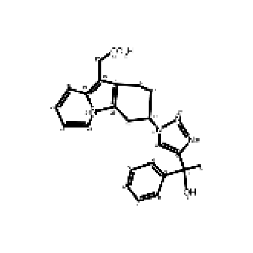 CC(O)(c1ccccc1)c1cn(C2CCc3c(CC(=O)O)c4ccccn4c3C2)nn1